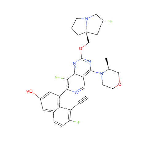 C#Cc1c(F)ccc2cc(O)cc(-c3ncc4c(N5CCOC[C@@H]5C)nc(OC[C@@]56CCCN5C[C@H](F)C6)nc4c3F)c12